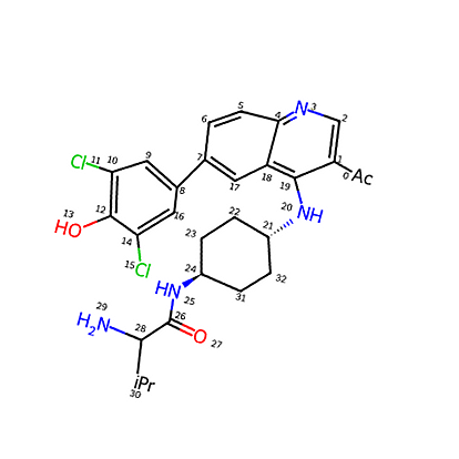 CC(=O)c1cnc2ccc(-c3cc(Cl)c(O)c(Cl)c3)cc2c1N[C@H]1CC[C@H](NC(=O)C(N)C(C)C)CC1